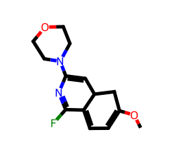 COC1=CC=C2C(F)=NC(N3CCOCC3)=CC2C1